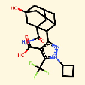 NC(=O)C12CC3CC(CC(O)(C3)C1)C2c1nn(C2CCC2)c(C(F)(F)F)c1C(=O)O